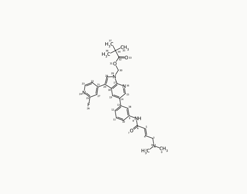 CN(C)CC=CC(=O)Nc1cccc(-c2cnc3c(c2)c(-c2ccnc(F)c2)cn3COC(=O)C(C)(C)C)c1